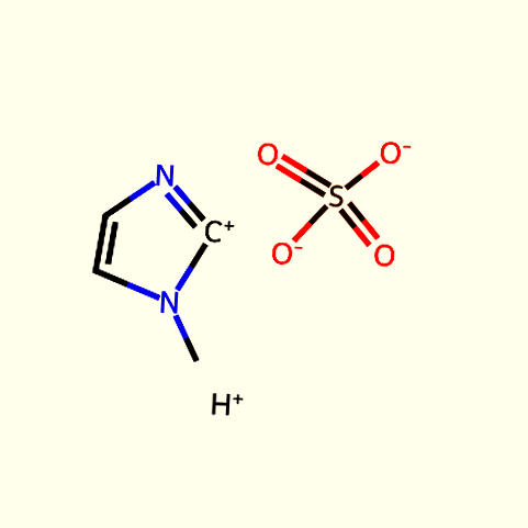 CN1[C+]=NC=C1.O=S(=O)([O-])[O-].[H+]